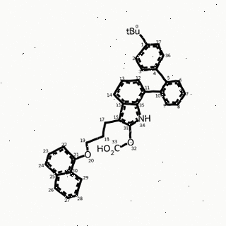 CC(C)(C)c1ccc(-c2ccccc2-c2cccc3c(CCCOc4cccc5ccccc45)c(OC(=O)O)[nH]c23)cc1